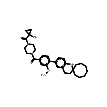 COc1cc(C(=O)N2CCN(C(=O)C3(O)CC3)CC2)ccc1-c1ccc2c(c1)CCC1(CCCCCCC1)N2